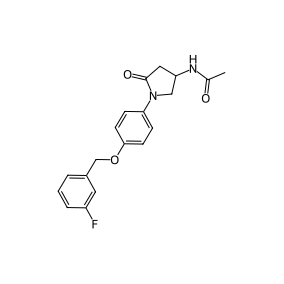 CC(=O)NC1CC(=O)N(c2ccc(OCc3cccc(F)c3)cc2)C1